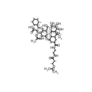 CCC1CC(C(=O)NCCNC(=O)CCOC(C)C)C[C@@H](O[C@@H]2OC(CO)[C@H](O)C(O[C@@H](CC3CCCCC3)C(=O)O)C2NC(C)=O)C1OC1O[C@H](C)[C@H](O)C(O)[C@@H]1O